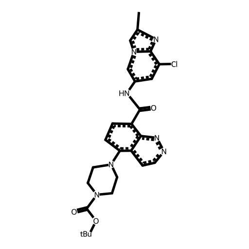 Cc1cn2cc(NC(=O)c3ccc(N4CCN(C(=O)OC(C)(C)C)CC4)c4ccnnc34)cc(Cl)c2n1